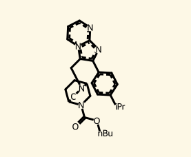 CCCCOC(=O)N1CC2CCC1CN2Cc1c(-c2ccc(C(C)C)cc2)nc2ncccn12